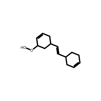 OOC1C=CCC(C=CC2CC=CCC2)C1